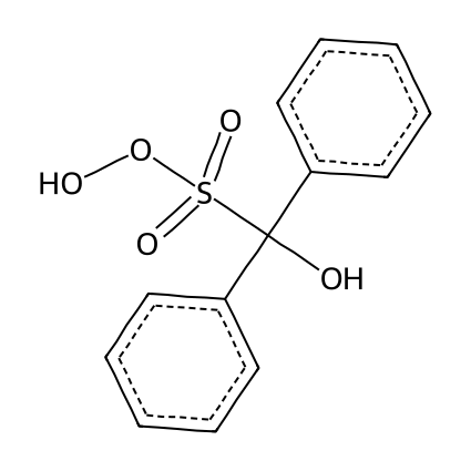 O=S(=O)(OO)C(O)(c1ccccc1)c1ccccc1